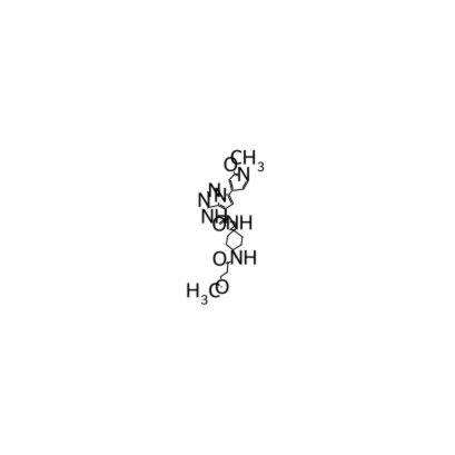 COCCC(=O)N[C@H]1CC[C@H](NC(=O)c2cc(-c3ccnc(OC)c3)n3ncnc(N)c23)CC1